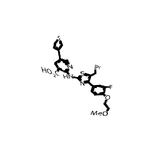 COCCOc1ccc(-c2nc(Nc3ncc(-c4ccsc4)cc3C(=O)O)sc2CC(C)C)cc1F